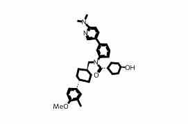 COc1ccc([C@H]2CC[C@H](CN(c3cccc(-c4ccc(N(C)C)nc4)c3)C(=O)[C@H]3CC[C@H](O)CC3)CC2)cc1C